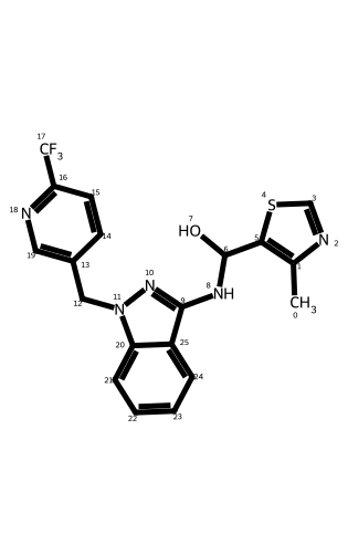 Cc1ncsc1C(O)Nc1nn(Cc2ccc(C(F)(F)F)nc2)c2ccccc12